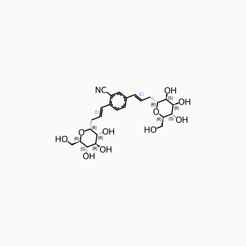 N#Cc1cc(/C=C/C[C@H]2O[C@H](CO)[C@@H](O)[C@H](O)[C@@H]2O)ccc1/C=C/C[C@H]1O[C@H](CO)[C@@H](O)[C@H](O)[C@H]1O